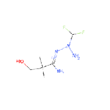 CC(C)(CO)/C(N)=N/N(N)C(F)F